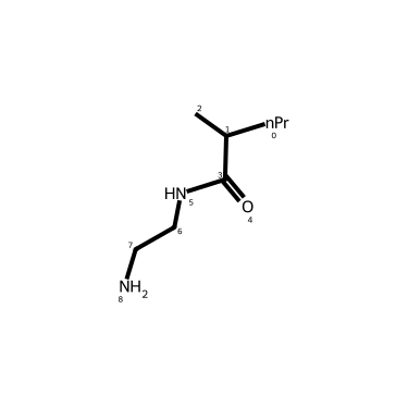 CCCC(C)C(=O)NCCN